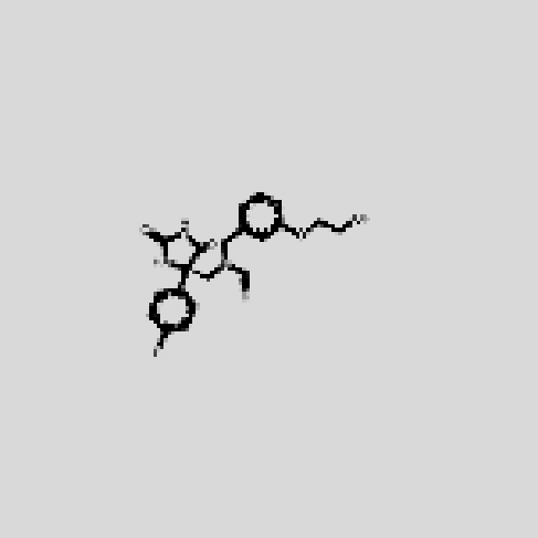 O=CN(Cc1cccc(OCCO)c1)C[C@@]1(c2ccc(F)cc2)NC(=O)NC1=O